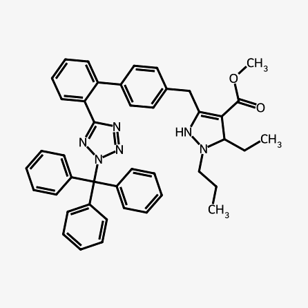 CCCN1NC(Cc2ccc(-c3ccccc3-c3nnn(C(c4ccccc4)(c4ccccc4)c4ccccc4)n3)cc2)=C(C(=O)OC)C1CC